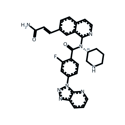 NC(=O)C=Cc1ccc2ccnc(N(C(=O)c3ccc(-n4nnc5cccnc54)cc3F)[C@@H]3CCCNC3)c2c1